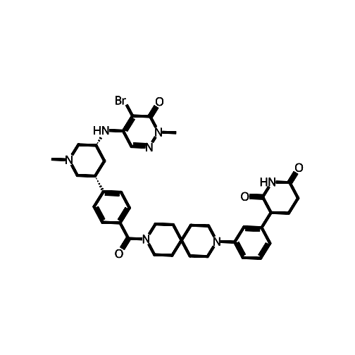 CN1C[C@H](Nc2cnn(C)c(=O)c2Br)C[C@H](c2ccc(C(=O)N3CCC4(CC3)CCN(c3cccc(C5CCC(=O)NC5=O)c3)CC4)cc2)C1